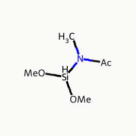 CO[SiH](OC)N(C)C(C)=O